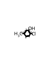 Cc1[c]c(O)c(Cl)cc1